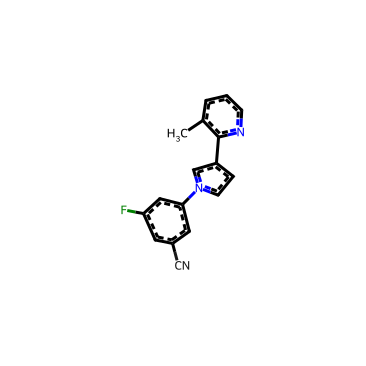 Cc1cccnc1-c1ccn(-c2cc(F)cc(C#N)c2)c1